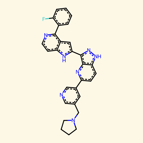 Fc1ccccc1-c1nccc2[nH]c(-c3n[nH]c4ccc(-c5cncc(CN6CCCC6)c5)nc34)cc12